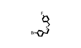 Fc1ccc(CS/C=C\c2ccc(Br)cc2)cc1